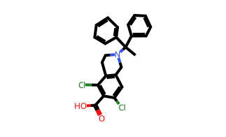 CC(c1ccccc1)(c1ccccc1)N1CCc2c(cc(Cl)c(C(=O)O)c2Cl)C1